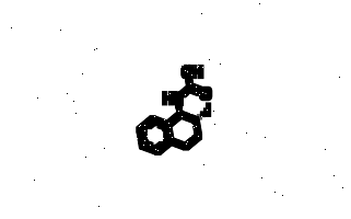 O=C(O)N[C@@H]1c2ccccc2CC[C@H]1I